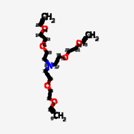 C=COCCOCCN(CCOCCOC=C)CCOCCOC=C